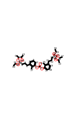 CCO[Si](CCCc1cccc(OC(=O)Oc2cccc(CCC[Si](OCC)(OCC)OCC)c2C)c1C)(OCC)OCC